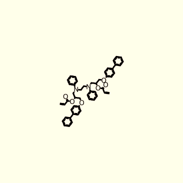 C=CC(=O)OC(COc1ccc(-c2ccccc2)cc1)CN(CCN(CC(COc1ccc(-c2ccccc2)cc1)OC(=O)C=C)c1ccccc1)c1ccccc1